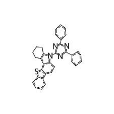 c1ccc(-c2nc(-c3ccccc3)nc(-n3c4c(c5c6sc7ccccc7c6ccc53)CCCC4)n2)cc1